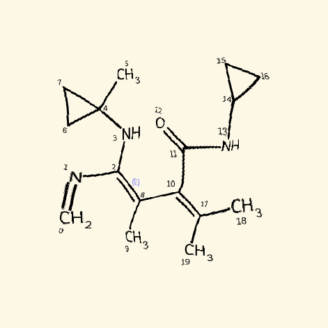 C=N/C(NC1(C)CC1)=C(\C)C(C(=O)NC1CC1)=C(C)C